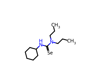 CCCN(CCC)C(=[Se])NC1CCCCC1